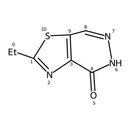 CCc1nc2c(=O)[nH]ncc2s1